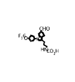 O=Cc1ccc2c(CCCNC(=O)O)cn(-c3ccc(OC(F)(F)F)cc3)c2c1